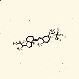 C[C@@H]1CC[C@H](O[Si](C)(C)C(C)(C)C)C/C1=C/C=C1\CCC[C@]2(C)[C@@H]([C@@H](C)CO)CC[C@@H]12